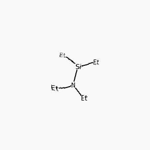 CCN(CC)[Si](CC)CC